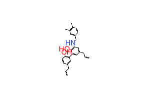 C=CCc1ccc(O)c(-c2cc(CC=C)cc(NCc3ccc(C)c(C)c3)c2O)c1